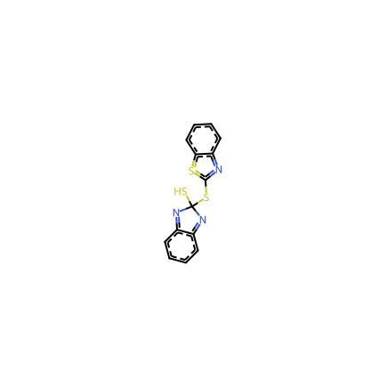 SC1(Sc2nc3ccccc3s2)N=c2ccccc2=N1